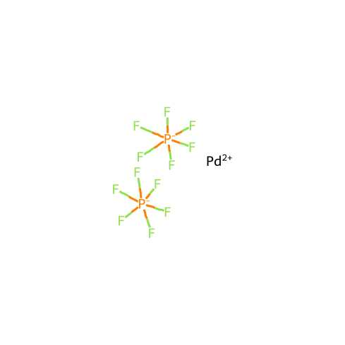 F[P-](F)(F)(F)(F)F.F[P-](F)(F)(F)(F)F.[Pd+2]